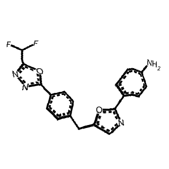 Nc1ccc(-c2ncc(Cc3ccc(-c4nnc(C(F)F)o4)cc3)o2)cc1